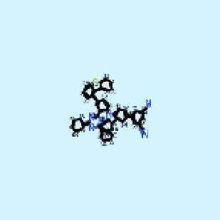 N#Cc1cc(C#N)cc(-c2ccc3c(c2)c2ccccc2n3-c2ccc(-c3cccc4sc5ccccc5c34)cc2-c2nc(-c3ccccc3)nc(-c3ccccc3)n2)c1